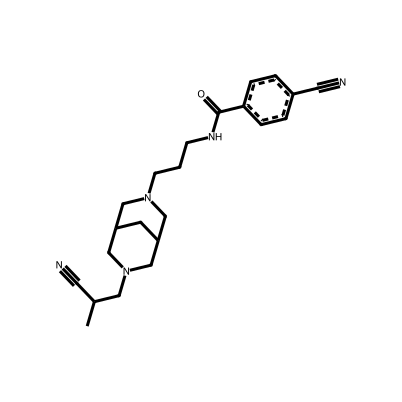 CC(C#N)CN1CC2CC(CN(CCCNC(=O)c3ccc(C#N)cc3)C2)C1